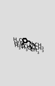 Cc1ccc(CN2CC(C)(C)OC(C)(C)C2)cc1C(C)(C)C